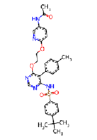 CC(=O)Nc1ccc(OCCOc2ncnc(NS(=O)(=O)c3ccc(C(C)(C)C)cc3)c2-c2ccc(C)cc2)nc1